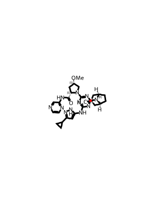 CO[C@H]1C[C@@H](C(=O)Nc2cnccn2)N(c2nc(Nc3cc(C4CC4)n[nH]3)nc(N3[C@@H]4CC[C@H]3CN(C)C4)n2)C1